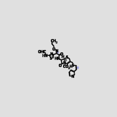 C=CCO/N=C(/C(=O)NC1C(=O)N2C(C(=O)O)=C(CS/C=C\c3cccnc3)CS[C@H]12)c1csc(NC=O)n1